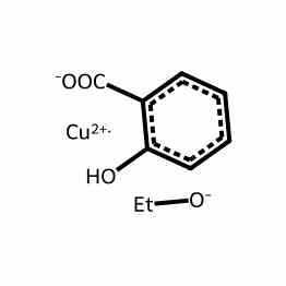 CC[O-].O=C([O-])c1ccccc1O.[Cu+2]